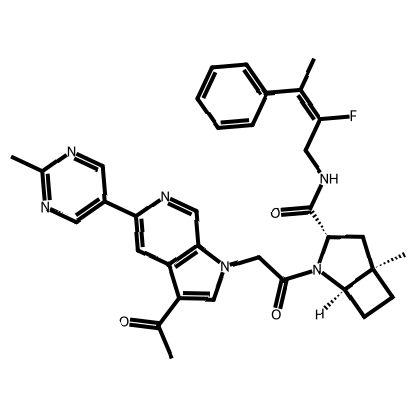 CC(=O)c1cn(CC(=O)N2[C@H](C(=O)NC/C(F)=C(/C)c3ccccc3)C[C@@]3(C)CC[C@@H]23)c2cnc(-c3cnc(C)nc3)cc12